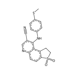 CSc1ccc(Nc2c(C#N)cnc3ccc4c(c23)CCS4(=O)=O)cc1